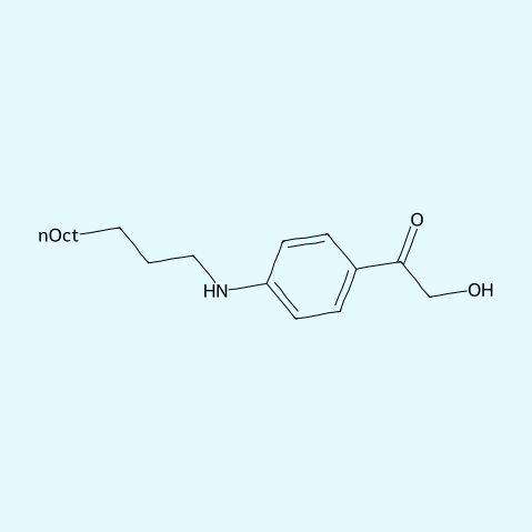 CCCCCCCCCCCNc1ccc(C(=O)CO)cc1